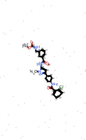 Cn1nc(-c2ccc(NC(=O)c3ccccc3Cl)cc2)cc1NC(=O)c1cccc(CNC(=O)OC(C)(C)C)c1